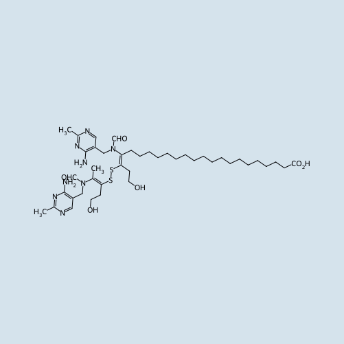 CC(=C(CCO)SSC(CCO)=C(CCCCCCCCCCCCCCCCCCC(=O)O)N(C=O)Cc1cnc(C)nc1N)N(C=O)Cc1cnc(C)nc1N